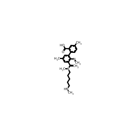 C=Nc1c(C(=C)N(C)CCCCCNC)cc(C)cc1-c1ccc(C)cc1C(=O)O